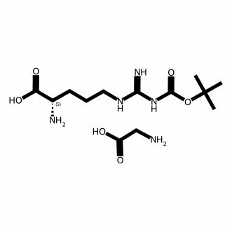 CC(C)(C)OC(=O)NC(=N)NCCC[C@H](N)C(=O)O.NCC(=O)O